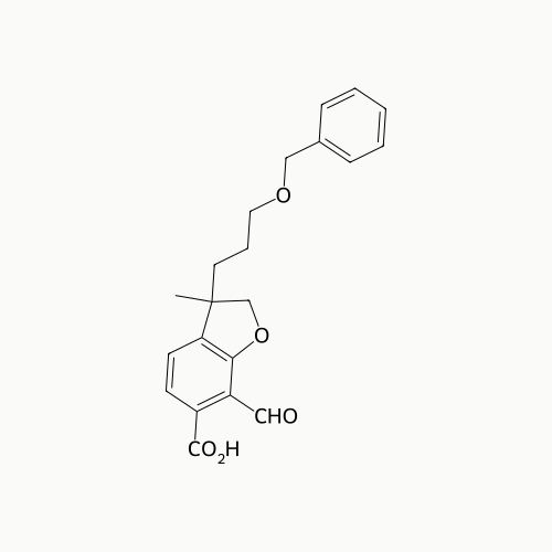 CC1(CCCOCc2ccccc2)COc2c1ccc(C(=O)O)c2C=O